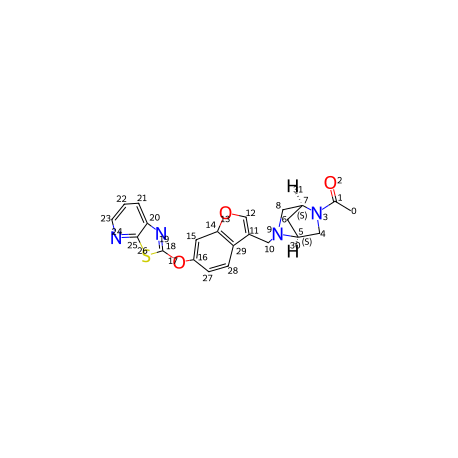 CC(=O)N1C[C@@H]2C[C@H]1CN2Cc1coc2cc(Oc3nc4cccnc4s3)ccc12